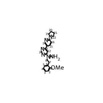 COc1ccccc1CCN(N)c1cc(-c2ccc(N3CCCC3)nc2)ncn1